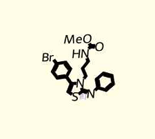 COC(=O)NCCCn1c(-c2ccc(Br)cc2)cs/c1=N/c1ccccc1